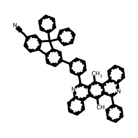 Cc1c2c(-c3cccc(-c4ccc5c(c4)C(c4ccccc4)(c4ccccc4)c4cc(C#N)ccc4-5)c3)nc3ccccc3c2c(C)c2c(-c3ccccc3)nc3ccccc3c12